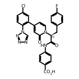 O=C(O)c1ccc(NC(=O)[C@H](Cc2ccc(F)cc2)n2ccc(-c3cc(Cl)ccc3-n3cnnn3)cc2=O)cc1